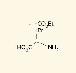 CC(C)[C@H](N)C(=O)O.CCOC(C)=O